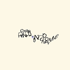 CCCOc1c(CN(C)C(=O)/C=C/c2cnc3c(c2)CNC2(CCCC2)C(=O)N3)cccc1OC